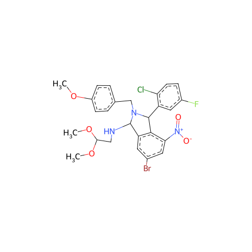 COc1ccc(CN2C(NCC(OC)OC)c3cc(Br)cc([N+](=O)[O-])c3C2c2cc(F)ccc2Cl)cc1